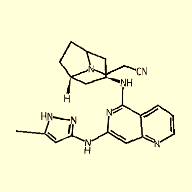 Cc1cc(Nc2cc3ncccc3c(N[C@@H]3CC4CC[C@@H](C3)N4CCC#N)n2)n[nH]1